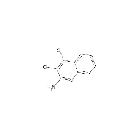 Nc1nc2ccccc2c(Cl)c1Cl